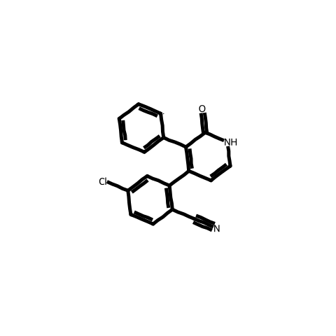 N#Cc1ccc(Cl)cc1-c1cc[nH]c(=O)c1-c1[c]cccc1